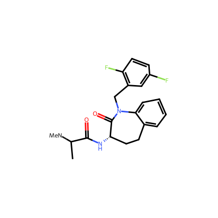 CNC(C)C(=O)N[C@H]1CCc2ccccc2N(Cc2cc(F)ccc2F)C1=O